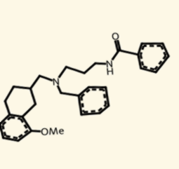 COc1cccc2c1CC(CN(CCCNC(=O)c1ccccc1)Cc1ccccc1)CC2